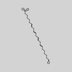 O=[C]CCCCCC=CCC=CCC=CCC=CCCCCC[N+](=O)[O-]